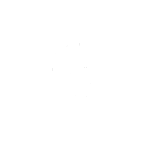 O=CN1CCC2=C(CCC(=O)C2)C1Cc1cc(O)c(O)cc1Br